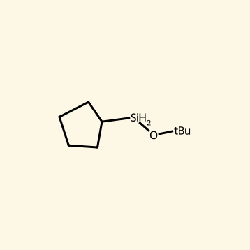 CC(C)(C)O[SiH2]C1CCCC1